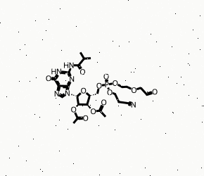 CC(=O)O[C@@H]1[C@H](OC(C)=O)[C@@H](COP(=O)(OCCC#N)OCCOCC=O)O[C@H]1n1cnc2c(=O)[nH]c(NC(=O)C(C)C)nc21